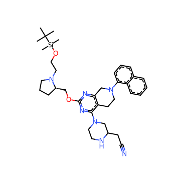 CC(C)(C)[Si](C)(C)OCCN1CCC[C@@H]1COc1nc2c(c(N3CCNC(CC#N)C3)n1)CCN(c1cccc3ccccc13)C2